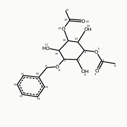 CC(=O)OC1C(O)C(OCc2ccccc2)C(O)C(OC(C)=O)C1O